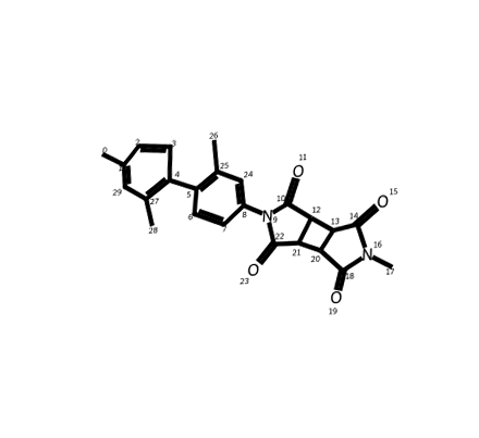 Cc1ccc(-c2ccc(N3C(=O)C4C5C(=O)N(C)C(=O)C5C4C3=O)cc2C)c(C)c1